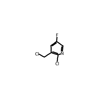 Fc1cnc(Cl)c(CCl)c1